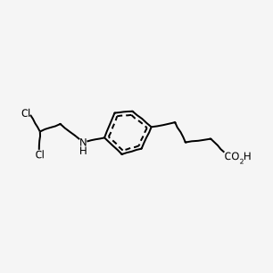 O=C(O)CCCc1ccc(NCC(Cl)Cl)cc1